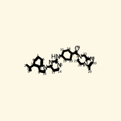 C=C(C)c1cccc2c1ccn2-c1ccnc(NC2CCC(C(=O)N3CCn4c(C)cnc4C3)CC2)n1